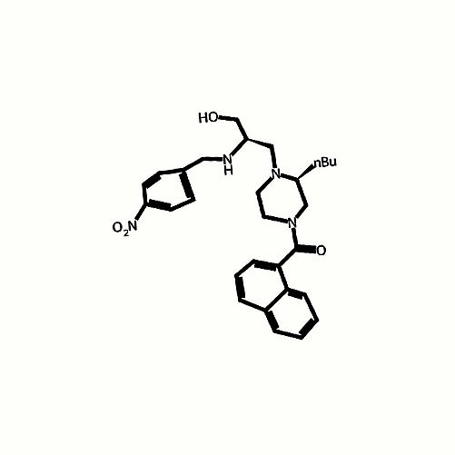 CCCC[C@H]1CN(C(=O)c2cccc3ccccc23)CCN1C[C@H](CO)NCc1ccc([N+](=O)[O-])cc1